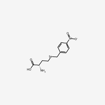 N[C@@H](CC[Se]Cc1ccc([N+](=O)[O-])cc1)C(=O)O